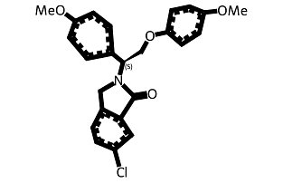 COc1ccc(OC[C@H](c2ccc(OC)cc2)N2Cc3ccc(Cl)cc3C2=O)cc1